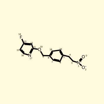 O=[N+]([O-])CCc1ccc(COc2cc(F)ccn2)cc1